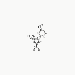 COc1cccc(-n2nc(C(C)C)cc2N)c1